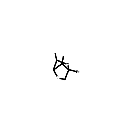 CCC12COC(C(C)O1)C2C